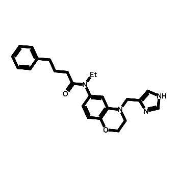 CCN(C(=O)CCCc1ccccc1)c1ccc2c(c1)N(Cc1c[nH]cn1)CCO2